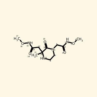 CONC(=O)CN1CCNC(C)(CC(=O)NOC)C1=O